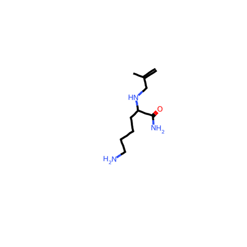 C=C(C)CNC(CCCCN)C(N)=O